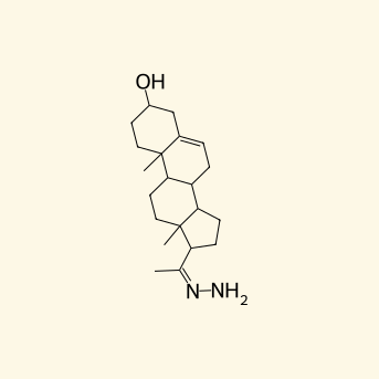 C/C(=N/N)C1CCC2C3CC=C4CC(O)CCC4(C)C3CCC12C